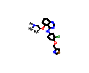 CC(=O)N(C)C[C@@H](C)Oc1cccc2ncnc(Nc3ccc(OCc4cscn4)c(Cl)c3)c12